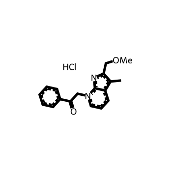 COCc1nc2n(CC(=O)c3ccccc3)cccc-2c1C.Cl